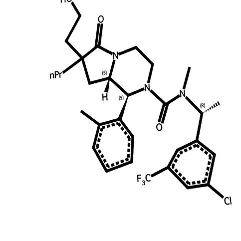 CCCC1(CCO)C[C@H]2[C@H](c3ccccc3C)N(C(=O)N(C)[C@H](C)c3cc(Cl)cc(C(F)(F)F)c3)CCN2C1=O